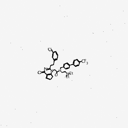 CCN(CC)CCN(Cc1ccc(-c2ccc(C(F)(F)F)cc2)cc1)C(=O)Cn1c(CCc2cccc(Cl)c2)nc(=O)c2c1CCC2